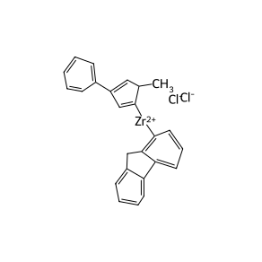 CC1C=C(c2ccccc2)C=[C]1[Zr+2][c]1cccc2c1Cc1ccccc1-2.[Cl-].[Cl-]